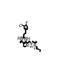 C=C(CNCc1nccc2c1NC(CCc1ccc(F)c(Cl)c1)NC2=C)NCCCC